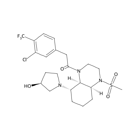 CS(=O)(=O)N1CCN(C(=O)Cc2ccc(C(F)(F)F)c(Cl)c2)[C@@H]2[C@@H](N3CC[C@H](O)C3)CCC[C@@H]21